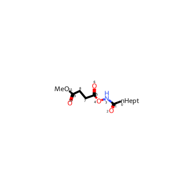 CCCCCCCC(=O)NOC(=O)CCC(=O)OC